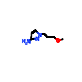 COCCCn1ccc(N)n1